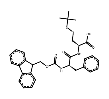 CC(C)(C)SSC[C@H](NC(=O)[C@@H](Cc1ccccc1)NC(=O)OCC1c2ccccc2-c2ccccc21)C(=O)O